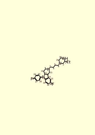 CCC1CN(CCCCN2CCC3C(C2)c2cc(F)ccc2N3c2ccc(F)cc2)CCN1